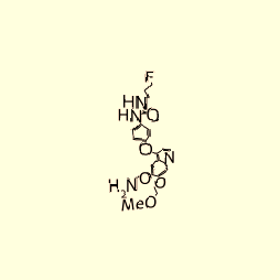 COCCOc1cc2nccc(Oc3ccc(NC(=O)NCCCF)cc3)c2cc1OCN